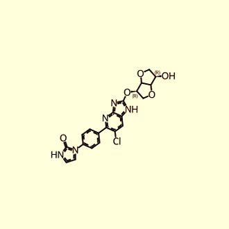 O=c1[nH]ccn1-c1ccc(-c2nc3nc(O[C@@H]4COC5C4OC[C@H]5O)[nH]c3cc2Cl)cc1